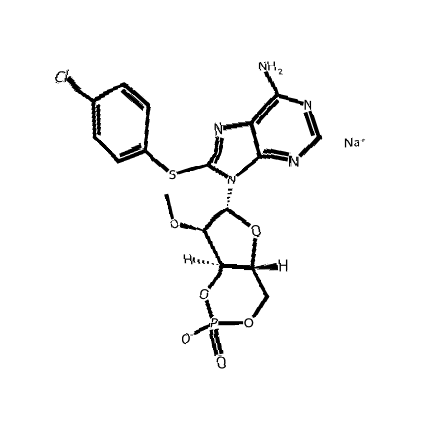 CO[C@@H]1[C@@H]2OP(=O)([O-])OC[C@H]2O[C@H]1n1c(Sc2ccc(Cl)cc2)nc2c(N)ncnc21.[Na+]